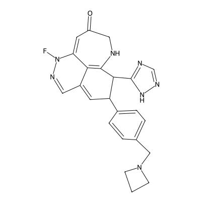 O=C1C=C2C3=C(NC1)C(c1ncn[nH]1)C(c1ccc(CN4CCC4)cc1)C=C3C=NN2F